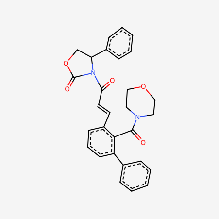 O=C(c1c(C=CC(=O)N2C(=O)OCC2c2ccccc2)cccc1-c1ccccc1)N1CCOCC1